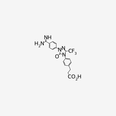 N=C(N)c1ccc(-n2nc(C(F)(F)F)n(-c3ccc(CCC(=O)O)cc3)c2=O)cc1